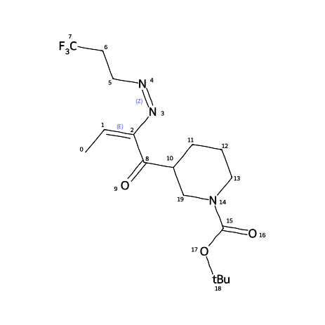 C/C=C(/N=N\CCC(F)(F)F)C(=O)C1CCCN(C(=O)OC(C)(C)C)C1